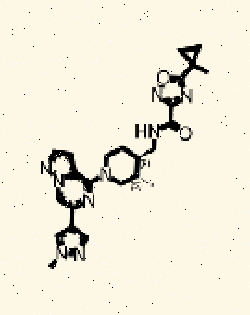 C[C@@H]1CN(c2nc(-c3cnn(C)c3)cn3nccc23)CC[C@H]1CNC(=O)c1noc(C2(C)CC2)n1